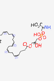 CC/C=C\C/C=C\C/C=C\C/C=C\C/C=C\C/C=C\CCC(=O)OC[C@@H](O)COP(=O)(O)OC[C@H](N)C(=O)O